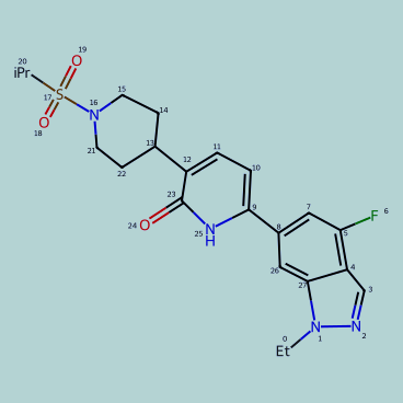 CCn1ncc2c(F)cc(-c3ccc(C4CCN(S(=O)(=O)C(C)C)CC4)c(=O)[nH]3)cc21